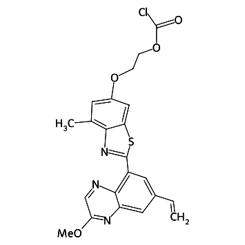 C=Cc1cc(-c2nc3c(C)cc(OCCOC(=O)Cl)cc3s2)c2ncc(OC)nc2c1